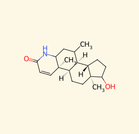 CC1CC2NC(=O)C=C[C@]2(C)[C@@H]2CC[C@]3(C)C(O)CC[C@H]3[C@H]12